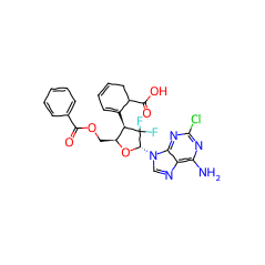 Nc1nc(Cl)nc2c1ncn2[C@@H]1O[C@@H](COC(=O)c2ccccc2)[C@@H](C2=CC=CCC2C(=O)O)C1(F)F